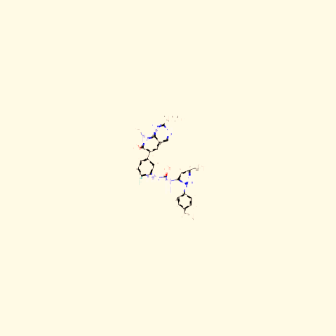 CNc1ncc2cc(-c3ccc(F)c(NC(=O)Nc4cc(C(C)C)nn4-c4ccc(C#N)cc4)c3)c(=O)n(C(C)C)c2n1